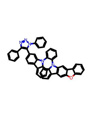 c1ccc(-c2nnn(-c3ccccc3)c2-c2ccc3c4ccccc4n(-c4ccccc4-n4c5ccccc5c5cc6oc7ccccc7c6cc54)c3c2)cc1